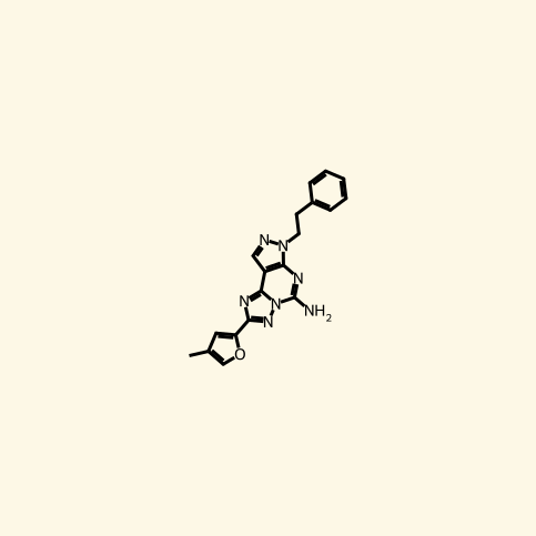 Cc1coc(-c2nc3c4cnn(CCc5ccccc5)c4nc(N)n3n2)c1